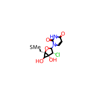 CSC[C@]12O[C@@H](n3ccc(=O)[nH]c3=O)[C@H](Cl)[C@@]1(O)C2O